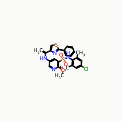 C=C(Nc1cnc(OC)c(S(=O)(=O)Nc2c(C)cc(Cl)cc2C)c1)c1csc(-c2ccccc2)n1